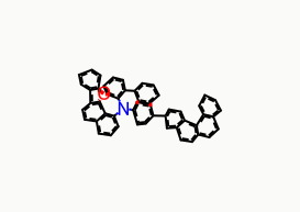 c1ccc(-c2ccccc2N(c2ccc(-c3ccc4c(ccc5ccc6ccccc6c54)c3)cc2)c2cccc3ccc4c5ccccc5oc4c23)cc1